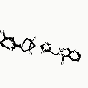 O=c1c2cccnc2cnn1Cc1nc([C@@H]2[C@@H]3CN(c4cc(Cl)ccn4)C[C@@H]32)no1